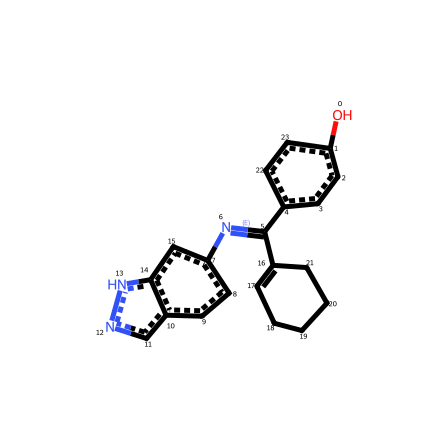 Oc1ccc(/C(=N/c2ccc3cn[nH]c3c2)C2=CCCCC2)cc1